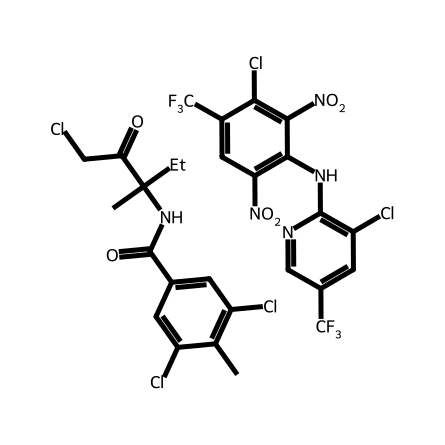 CCC(C)(NC(=O)c1cc(Cl)c(C)c(Cl)c1)C(=O)CCl.O=[N+]([O-])c1cc(C(F)(F)F)c(Cl)c([N+](=O)[O-])c1Nc1ncc(C(F)(F)F)cc1Cl